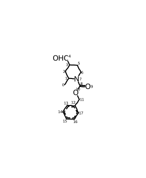 CC1CC(C=O)CCN1C(=O)OCc1ccccc1